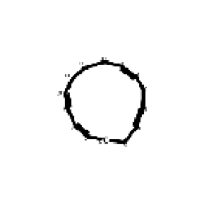 [C]1=CCC=CCCC=CC=CCCC1